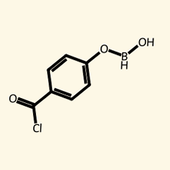 O=C(Cl)c1ccc(OBO)cc1